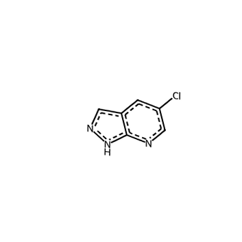 Clc1cnc2[nH]ncc2c1